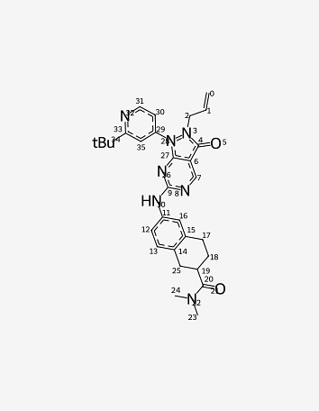 C=CCn1c(=O)c2cnc(Nc3ccc4c(c3)CCC(C(=O)N(C)C)C4)nc2n1-c1ccnc(C(C)(C)C)c1